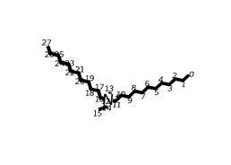 CCCCCCCCCCCC[N+](C)(CC)CCCCCCCCCCCC